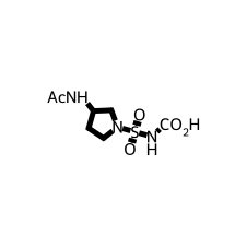 CC(=O)NC1CCN(S(=O)(=O)NC(=O)O)C1